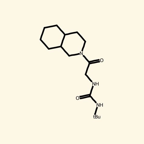 CC(C)(C)NC(=O)NCC(=O)N1CCC2CCCCC2C1